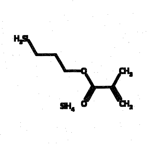 C=C(C)C(=O)OCCC[SiH3].[SiH4]